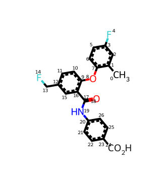 Cc1cc(F)ccc1Oc1ccc(CF)cc1C(=O)Nc1ccc(C(=O)O)cc1